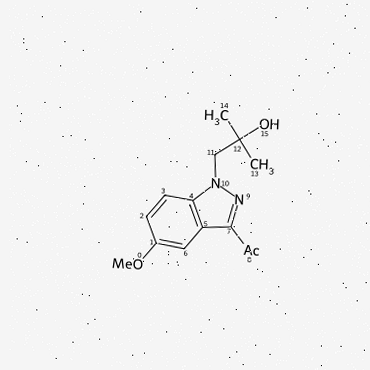 COc1ccc2c(c1)c(C(C)=O)nn2CC(C)(C)O